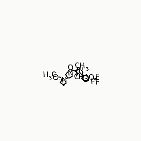 COC[C@@H]1CCCN1C1CCN(C(=O)c2c(C)nn(-c3cccc(OC(F)(F)F)c3)c2C)CC1